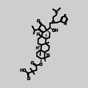 CC(C)C1=C2[C@H]3CC[C@@H]4[C@@]5(C)CC[C@@H](OC(=O)CC(C)(C)C(=O)O)C(C)(C)[C@@H]5CC[C@@]4(C)[C@]3(C)CC[C@@]2([C@@H](O)CN(CCN(C)C)Cc2cscn2)CC1=O